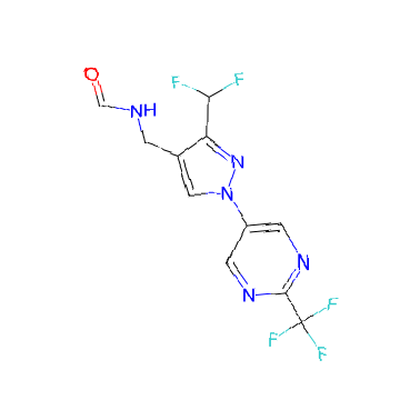 O=CNCc1cn(-c2cnc(C(F)(F)F)nc2)nc1C(F)F